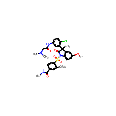 CCOc1ccc2c(c1)C(C)(c1cc(NC(=O)CN(C)C)ccc1Cl)C(=O)N2S(=O)(=O)c1ccc(C(=O)NC(C)(C)C)cc1OC